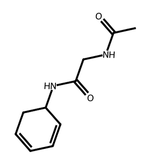 CC(=O)NCC(=O)NC1C=CC=CC1